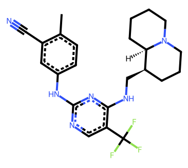 Cc1ccc(Nc2ncc(C(F)(F)F)c(NC[C@@H]3CCCN4CCCC[C@H]34)n2)cc1C#N